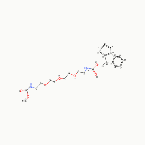 CC(C)(C)OC(=O)NCCOCCOCCOCCNC(=O)OCC1c2ccccc2-c2ccccc21